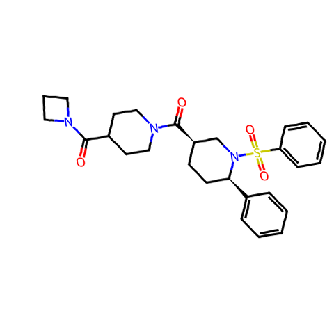 O=C(C1CCN(C(=O)[C@@H]2CC[C@H](c3ccccc3)N(S(=O)(=O)c3ccccc3)C2)CC1)N1CCC1